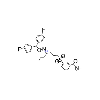 CCC/C(CCCS(=O)(=O)c1cccc(C(=O)N(C)C)c1)=N\OC(c1ccc(F)cc1)c1ccc(F)cc1